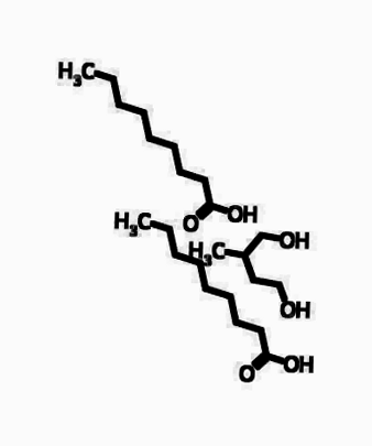 CC(CO)CCO.CCCCCCCCC(=O)O.CCCCCCCCC(=O)O